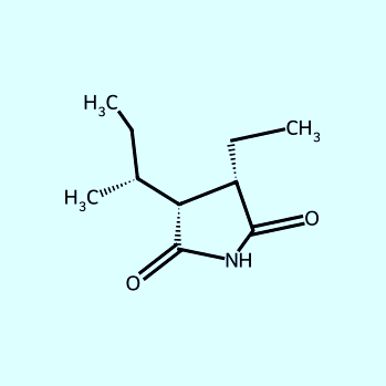 CC[C@@H](C)[C@H]1C(=O)NC(=O)[C@H]1CC